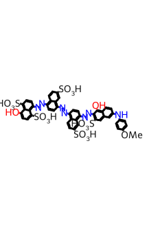 COc1ccc(Nc2ccc3c(O)c(N=Nc4ccc(N=Nc5ccc(N=Nc6ccc(S(=O)(=O)O)c7c(O)ccc(S(=O)(=O)O)c67)c6ccc(S(=O)(=O)O)cc56)c5ccc(S(=O)(=O)O)cc45)c(S(=O)(=O)O)cc3c2)cc1